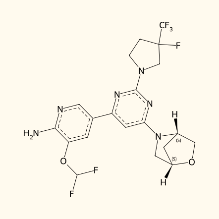 Nc1ncc(-c2cc(N3C[C@@H]4C[C@H]3CO4)nc(N3CCC(F)(C(F)(F)F)C3)n2)cc1OC(F)F